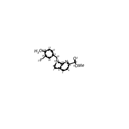 COC(=O)c1ccc2ccn(Cc3ccc(C)c(F)c3)c2n1